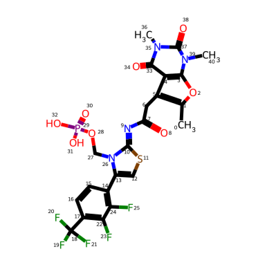 Cc1oc2c(c1CC(=O)/N=c1\scc(-c3ccc(C(F)(F)F)c(F)c3F)n1COP(=O)(O)O)c(=O)n(C)c(=O)n2C